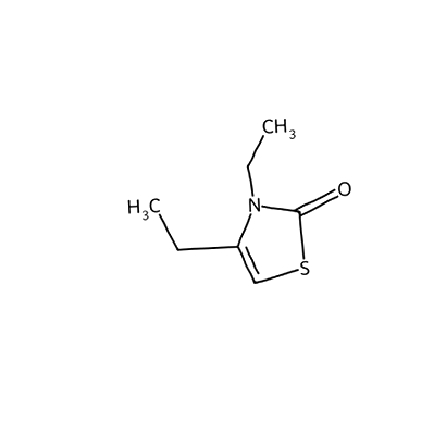 CCc1csc(=O)n1CC